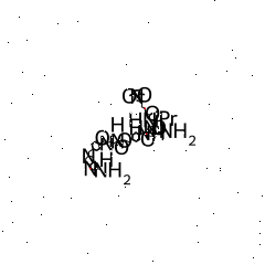 CC(C)C(NC(=O)CCCCCN1C(=O)C=CC1=O)C(=O)N[C@@H](CCCN)C(=O)Nc1ccc(COC(=O)NCCNC(=O)c2ccc(CN3CCc4ncc(N)cc4C3)cc2)cc1